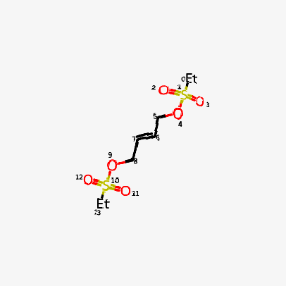 CCS(=O)(=O)OC/C=C/COS(=O)(=O)CC